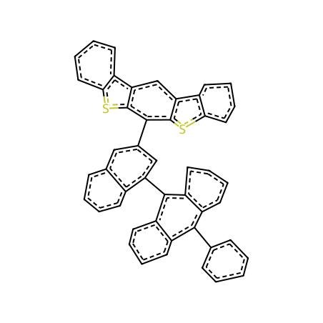 c1ccc(-c2c3ccccc3c(-c3cc(-c4c5sc6ccccc6c5cc5c4sc4ccccc45)cc4ccccc34)c3ccccc23)cc1